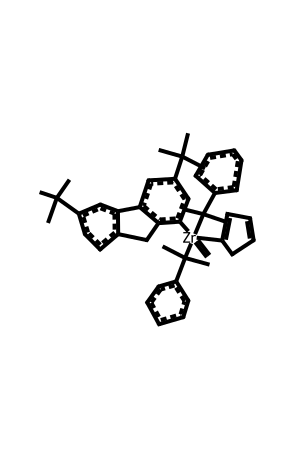 [CH2]=[Zr]([C]1=CC=CC1)([c]1cc(C(C)(C)C)cc2c1Cc1ccc(C(C)(C)C)cc1-2)([C](C)(C)c1ccccc1)[C](C)(C)c1ccccc1